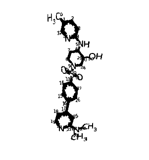 Cc1ccc(N[C@@H]2CCN(S(=O)(=O)c3ccc(-c4ccnc(N(C)C)c4)cc3)C[C@@H]2O)nc1